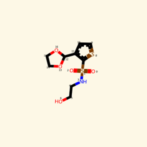 O=S(=O)(NCCO)c1sccc1C1OCCO1